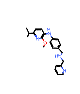 COc1nc(C(C)C)ccc1Nc1ccc(CNCc2ccccn2)cc1